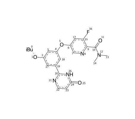 CC[C@@H](C)Oc1cc(Oc2cnc(C(=O)N(C)C)c(F)c2)cc(-c2nccc(=O)[nH]2)c1